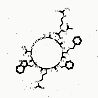 CC(=O)N[C@@H](CCCNC(=N)N)C(=O)N[C@H]1CC(=O)NCCCCC(C(N)=O)NC(=O)[C@H](Cc2c[nH]c3ccccc23)NC(=O)[C@H](CCCNC(=N)N)NC(=O)[C@@H](Cc2ccccc2)NC(=O)[C@@H]([C@@H](C)OCc2ccccc2)NC1=O